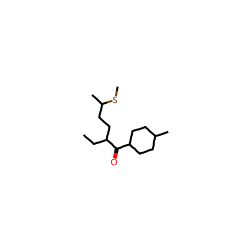 CCC(CCC(C)SC)C(=O)C1CCC(C)CC1